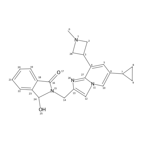 CN1CC(c2cc(C3CC3)cn3cc(CN4C(=O)c5ccccc5C4O)nc23)C1